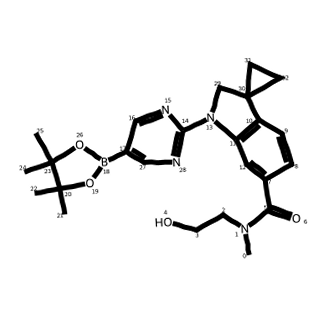 CN(CCO)C(=O)c1ccc2c(c1)N(c1ncc(B3OC(C)(C)C(C)(C)O3)cn1)CC21CC1